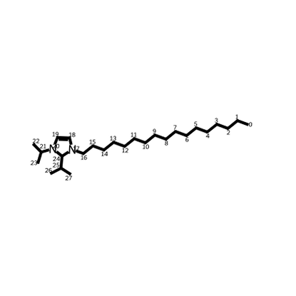 CCCCCCCCCCCCCCCCCN1C=CN(C(C)C)C1C(C)C